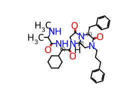 CNC(C)C(=O)N[C@H](C(=O)N1CC(=O)N2[C@@H]1CN(CCCc1ccccc1)C(=O)[C@@H]2Cc1ccccc1)C1CCCCC1